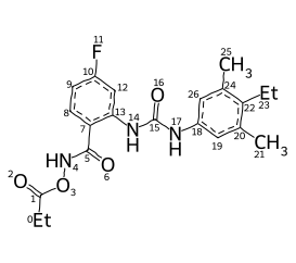 CCC(=O)ONC(=O)c1ccc(F)cc1NC(=O)Nc1cc(C)c(CC)c(C)c1